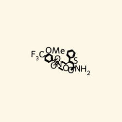 COc1cc(S(=O)(=O)N2CCO[C@H](c3c(C(N)=O)sc4ccccc34)C2)ccc1C(F)(F)F